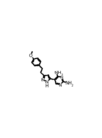 COc1ccc(CCc2cc(-c3cnc(N)nc3N)[nH]n2)cc1